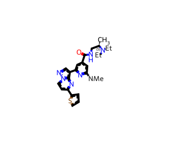 CCN(CC)[C@@H](C)CNC(=O)c1cc(NC)nc(-c2cnn3ccc(-c4cccs4)nc23)c1